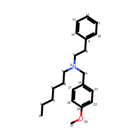 CCCCCCN(CCc1ccccc1)Cc1ccc(OC)cc1